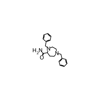 NC(=O)C1CCN(Cc2ccccc2)CCN1Cc1ccccc1